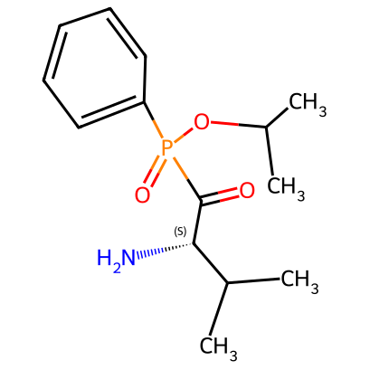 CC(C)OP(=O)(C(=O)[C@@H](N)C(C)C)c1ccccc1